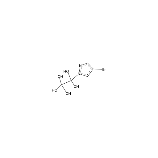 OC(O)(O)C(O)(O)n1cc(Br)cn1